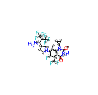 Cc1c(N2CCC(C(N)C(C(F)(F)F)C(F)(F)F)C2)c(F)c(C(F)F)c2c(=O)[nH]c(=O)n(C3CC3)c12